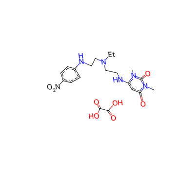 CCN(CCNc1ccc([N+](=O)[O-])cc1)CCNc1cc(=O)n(C)c(=O)n1C.O=C(O)C(=O)O